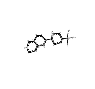 FC(F)(F)c1ccc(-c2ccc3cnccc3n2)nc1